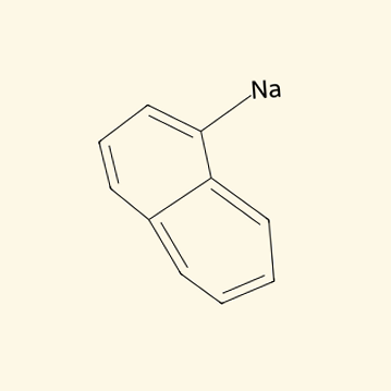 [Na][c]1cccc2ccccc12